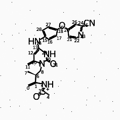 C=C(N[S+](C)[O-])[C@@H](C)CN1C(=C)C=C(Nc2ccc(Oc3ccnc(C#N)c3)cc2)NC1=O